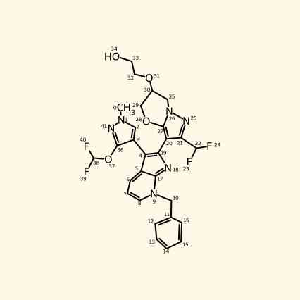 Cn1cc(-c2c3cccn(Cc4ccccc4)c-3nc2-c2c(C(F)F)nn3c2OCC(OCCO)C3)c(OC(F)F)n1